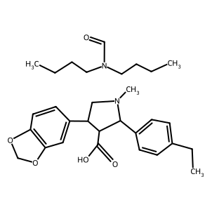 CCCCN(C=O)CCCC.CCc1ccc(C2C(C(=O)O)C(c3ccc4c(c3)OCO4)CN2C)cc1